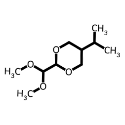 COC(OC)C1OCC(C(C)C)CO1